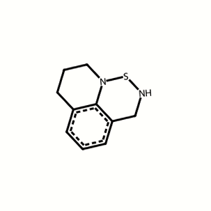 c1cc2c3c(c1)CNSN3CCC2